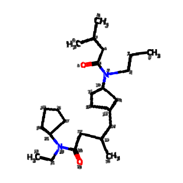 CCCN(C(=O)CC(C)C)C1CCC(CC(C)CC(=O)N(CC)C2CCCC2)C1